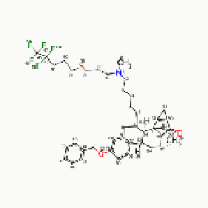 CN(CCCCC[C@@H]1Cc2cc(OCc3ccccc3)ccc2[C@H]2CC[C@]3(C)C(=O)C4=C(C4)[C@H]3[C@H]12)CCCSCCCC(F)(F)C(F)(F)F